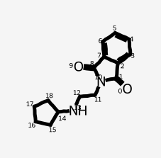 O=C1c2ccccc2C(=O)N1CCNC1CCCC1